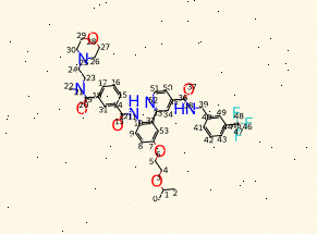 CC(C)OCCOc1ccc(NC(=O)c2cccc(C(=O)N(C)CCN3CCOCC3)c2)c(-c2cc(C(=O)NCc3cccc(C(F)(F)F)c3)ccn2)c1